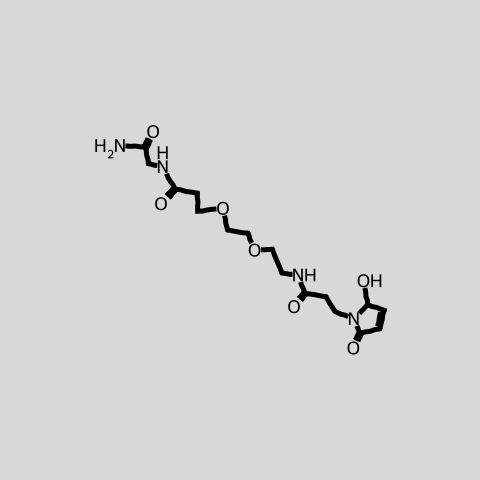 NC(=O)CNC(=O)CCOCCOCCNC(=O)CCN1C(=O)C=CC1O